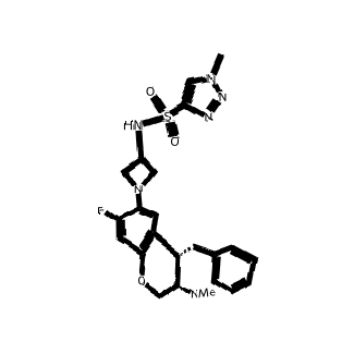 CN[C@H]1COc2cc(F)c(N3CC(NS(=O)(=O)c4cn(C)nn4)C3)cc2[C@@H]1Cc1ccccc1